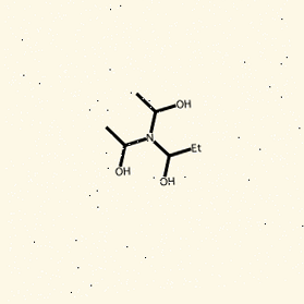 CCC(O)N(C(C)O)C(C)O